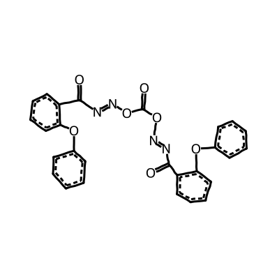 O=C(ON=NC(=O)c1ccccc1Oc1ccccc1)ON=NC(=O)c1ccccc1Oc1ccccc1